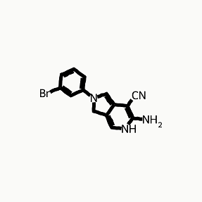 N#CC1=C(N)NC=C2CN(c3cccc(Br)c3)C=C21